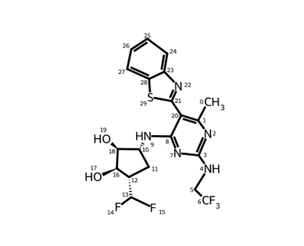 Cc1nc(NCC(F)(F)F)nc(N[C@@H]2C[C@H](C(F)F)[C@@H](O)[C@H]2O)c1-c1nc2ccccc2s1